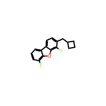 Fc1cccc2c1oc1c(F)c(CC3CCC3)ccc12